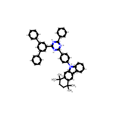 CC1(C)CCC(C)(C)c2cc3c(cc21)c1ccccc1n3-c1ccc(-c2nc(-c3ccccc3)nc(-c3cc(-c4ccccc4)cc(-c4ccccc4)c3)n2)cc1